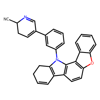 N#CC1CC=C(c2cccc(-n3c4c(c5ccc6oc7ccccc7c6c53)C=CCC4)c2)C=N1